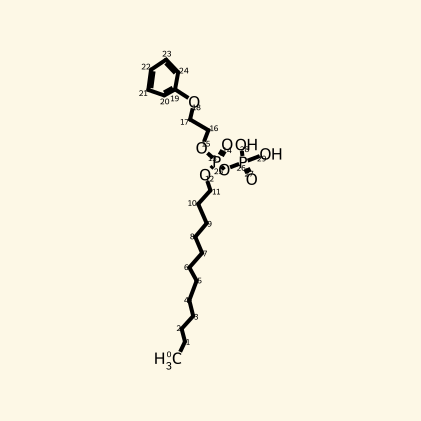 CCCCCCCCCCCCOP(=O)(OCCOc1ccccc1)OP(=O)(O)O